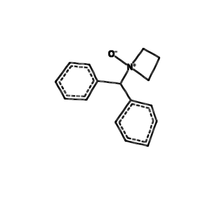 [O-][N+]1(C(c2ccccc2)c2ccccc2)CCC1